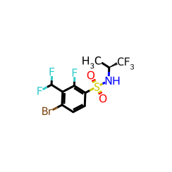 C[C@H](NS(=O)(=O)c1ccc(Br)c(C(F)F)c1F)C(F)(F)F